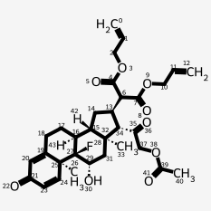 C=CCOC(=O)C(C(=O)OCC=C)[C@@H]1C[C@H]2[C@@H]3CCC4=CC(=O)C=C[C@]4(C)[C@@]3(F)[C@@H](O)C[C@]2(C)[C@H]1C(=O)COC(C)=O